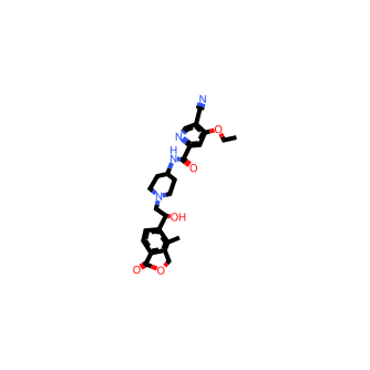 CCOc1cc(C(=O)NC2CCN(CC(O)c3ccc4c(c3C)COC4=O)CC2)ncc1C#N